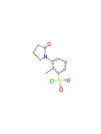 Cc1c(N2CCCC2=O)cccc1S(=O)(=O)Cl